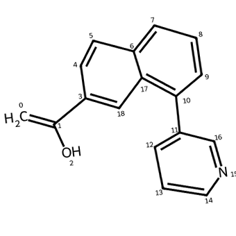 C=C(O)c1ccc2cccc(-c3cccnc3)c2c1